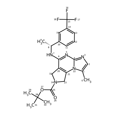 Cc1cnc2nc(N[C@H](C)c3cccc(C(F)(F)F)c3)c3c(n12)CN(C(=O)OC(C)(C)C)C3